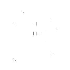 COc1ccc(-c2cccnc2)cc1C(C)(C)CC(O)(Cn1ccc(=O)c2sccc21)C(F)F